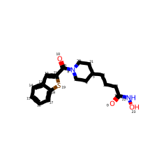 O=C(CCCC1CCN(C(=O)c2cc3ccccc3s2)CC1)NO